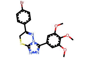 COc1cc(-c2nnc3n2N=C(c2ccc(Br)cc2)CS3)cc(OC)c1OC